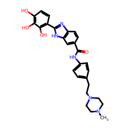 CN1CCN(CCc2ccc(NC(=O)c3ccc4nc(-c5ccc(O)c(O)c5O)[nH]c4c3)cc2)CC1